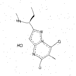 CC[C@H](NC)c1cc2nc(Cl)c(C)c(Cl)n2n1.Cl